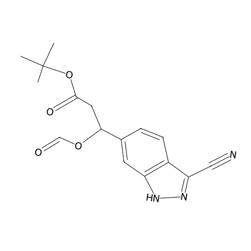 CC(C)(C)OC(=O)CC(OC=O)c1ccc2c(C#N)n[nH]c2c1